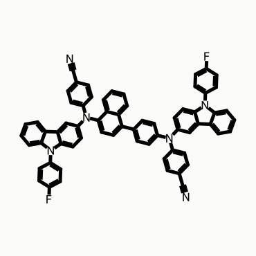 N#Cc1ccc(N(c2ccc(-c3ccc(N(c4ccc(C#N)cc4)c4ccc5c(c4)c4ccccc4n5-c4ccc(F)cc4)c4ccccc34)cc2)c2ccc3c(c2)c2ccccc2n3-c2ccc(F)cc2)cc1